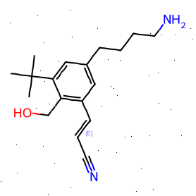 CC(C)(C)c1cc(CCCCN)cc(/C=C/C#N)c1CO